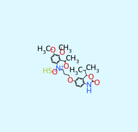 COc1ccc([N+](=CCCOc2ccc3c(c2)C(C(C)C)OC(=O)N3)OS)c(C(C)=O)c1OC